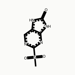 CS(=O)(=O)c1ncc2[nH]c(=O)[nH]c2n1